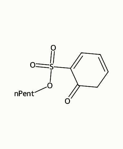 CCCCCOS(=O)(=O)C1=CC=CCC1=O